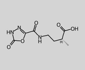 C[C@H](CCNC(=O)c1n[nH]c(=O)o1)C(=O)O